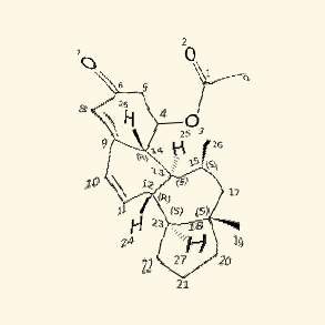 CC(=O)OC1CC(=O)C=C2C=C[C@@H]3[C@@H]([C@H]21)[C@@H](C)C[C@]1(C)CCC[C@@H]31